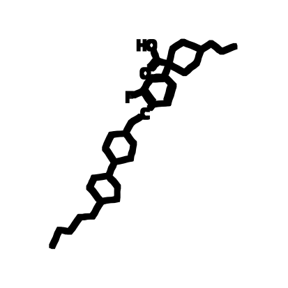 CCCCCC1CCC(C2CCC(CCc3ccc(C4(C(=O)O)CCC(CCC)CC4)cc3F)CC2)CC1